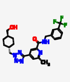 Cc1cc(-c2nnn(C[C@H]3CC[C@H](CO)CC3)n2)cc(C(=O)NCc2cccc(C(F)(F)F)c2)n1